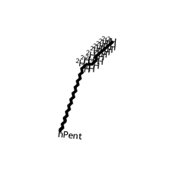 [2H]C(=C([2H])C([2H])([2H])C([2H])=C([2H])C([2H])([2H])C([2H])([2H])C([2H])([2H])C([2H])([2H])C([2H])([2H])[2H])C([2H])([2H])CCCCCCCCCCCCCCCCC=CCC=CCCCCC